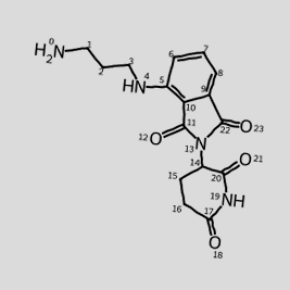 NCCCNc1cccc2c1C(=O)N(C1CCC(=O)NC1=O)C2=O